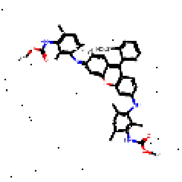 Cc1cc(C)c(NC(=O)OC(C)C)c(C)c1/N=c1/cc2oc3cc(Nc4c(C)cc(C)c(NC(=O)OC(C)C)c4C)ccc3c(-c3ccccc3S(=O)(=O)O)c-2cc1S(=O)(=O)O